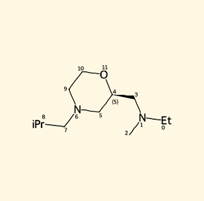 CCN(C)C[C@H]1CN(CC(C)C)CCO1